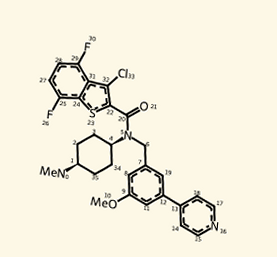 CN[C@H]1CC[C@@H](N(Cc2cc(OC)cc(-c3ccncc3)c2)C(=O)c2sc3c(F)ccc(F)c3c2Cl)CC1